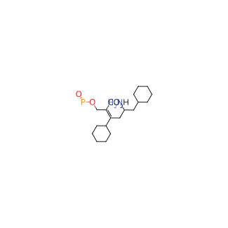 NC(CC(=C(COP=O)C(=O)O)C1CCCCC1)CC1CCCCC1